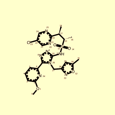 COc1cccc(-c2nnc(NS(=O)(=O)[C@@H](C)[C@H](C)c3ncc(Cl)cn3)n2Cc2cc(C)on2)n1